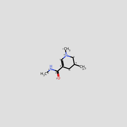 CNC(=O)C1=CN(C)CC(C)C1